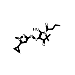 CCCC(=O)N1C(O)=C(N=Nc2cc(C3CC3)n(C)n2)C(=O)C1(C)C